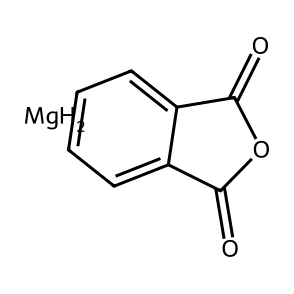 O=C1OC(=O)c2ccccc21.[MgH2]